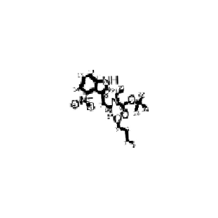 CCCCOC[C@H](Cc1c[nH]c2cccc([N+](=O)[O-])c12)N(CC)C(=O)OC(C)(C)C